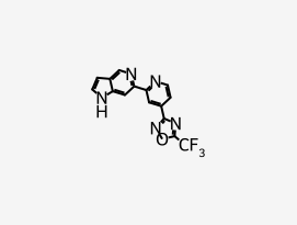 FC(F)(F)c1nc(-c2ccnc(-c3cc4[nH]ccc4cn3)c2)no1